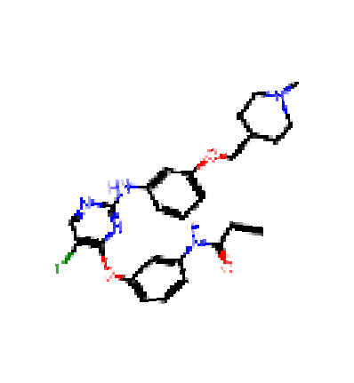 C=CC(=O)Nc1cccc(Oc2nc(Nc3cccc(OCC4CCN(C)CC4)c3)ncc2F)c1